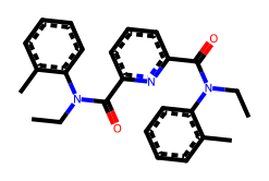 CCN(C(=O)c1cccc(C(=O)N(CC)c2ccccc2C)n1)c1ccccc1C